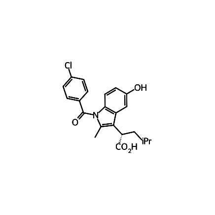 Cc1c([C@H](CC(C)C)C(=O)O)c2cc(O)ccc2n1C(=O)c1ccc(Cl)cc1